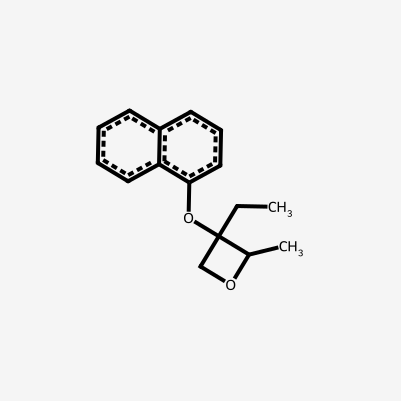 CCC1(Oc2cccc3ccccc23)COC1C